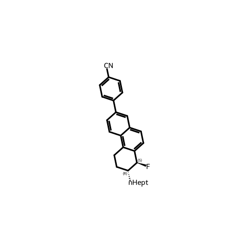 CCCCCCC[C@@H]1CCc2c(ccc3cc(-c4ccc(C#N)cc4)ccc23)[C@H]1F